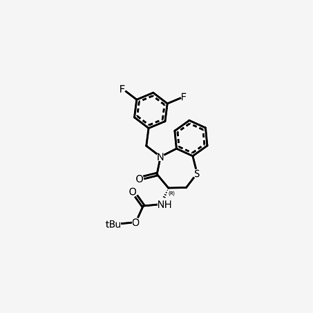 CC(C)(C)OC(=O)N[C@H]1CSc2ccccc2N(Cc2cc(F)cc(F)c2)C1=O